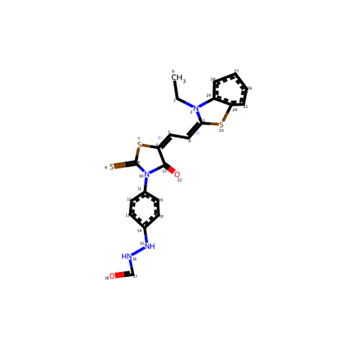 CCN1/C(=C\C=C2\SC(=S)N(c3ccc(NNC=O)cc3)C2=O)Sc2ccccc21